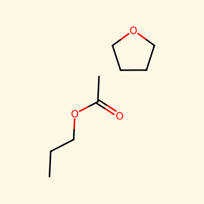 C1CCOC1.CCCOC(C)=O